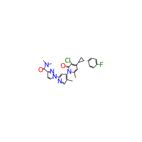 Cc1cnc(-n2ccc(C(=O)N(C)C)n2)cc1-n1c(C)cc([C@H]2C[C@@H]2c2ccc(F)cc2)c(Cl)c1=O